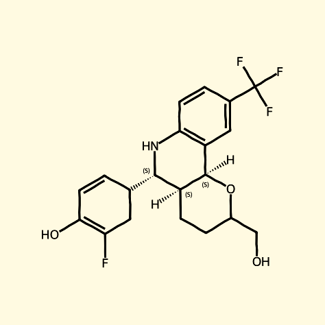 OCC1CC[C@@H]2[C@H](O1)c1cc(C(F)(F)F)ccc1N[C@H]2C1C=CC(O)=C(F)C1